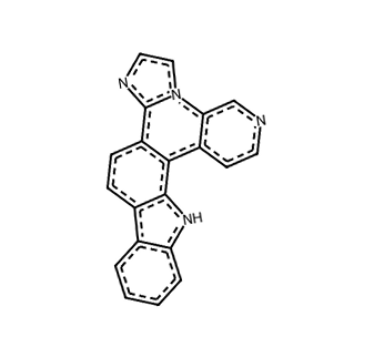 c1ccc2c(c1)[nH]c1c2ccc2c1c1ccncc1n1ccnc21